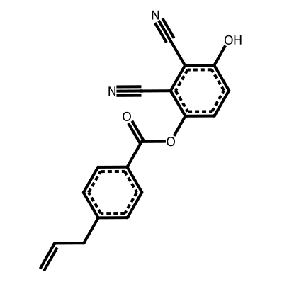 C=CCc1ccc(C(=O)Oc2ccc(O)c(C#N)c2C#N)cc1